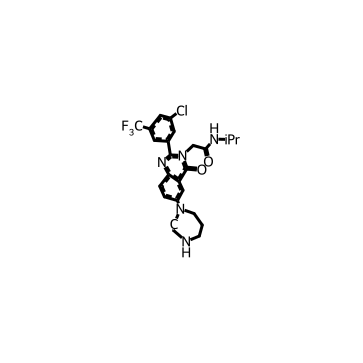 CC(C)NC(=O)Cn1c(-c2cc(Cl)cc(C(F)(F)F)c2)nc2ccc(N3CCCNCC3)cc2c1=O